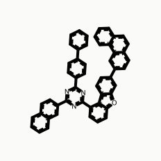 c1ccc(-c2ccc(-c3nc(-c4ccc5ccccc5c4)nc(-c4cccc5oc6cc(-c7ccc8ccc9ccccc9c8c7)ccc6c45)n3)cc2)cc1